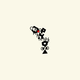 Cc1c(Nc2ccc(S(=O)(=O)C3CC3)cc2F)ncnc1OC1CC2COC[C@@H](C1)N2C(=O)OC1(C)CCC1